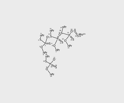 CCCOP([O-])(=S)SCCC.CCCOP([O-])(=S)SCCC.CCCOP([O-])(=S)SCCC.CCCOP([O-])(=S)SCCC.O=S.[Mo+4]